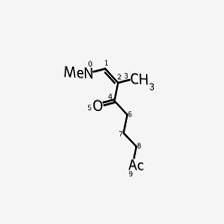 CN/C=C(/C)C(=O)CCCC(C)=O